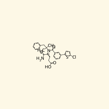 CC(C)(Cc1ccccc1)N(C(=O)c1cccc(-c2ccc(Cl)s2)c1)[C@@H](CCC(=O)O)C(N)=O